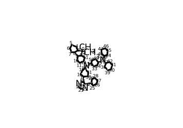 CC1(C)c2ccccc2-c2ccc(N(c3ccc(-c4nccnc4-c4ccccc4)cc3)c3ccc(N(c4ccccc4)c4ccccc4)cc3)cc21